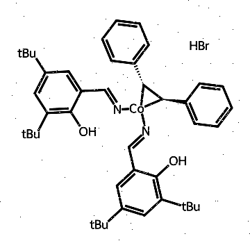 Br.CC(C)(C)c1cc(C=[N][Co]2([N]=Cc3cc(C(C)(C)C)cc(C(C)(C)C)c3O)[C@H](c3ccccc3)[C@H]2c2ccccc2)c(O)c(C(C)(C)C)c1